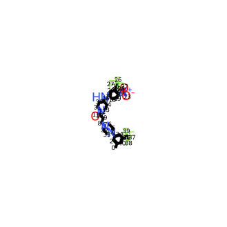 Cc1cc(N2CCN(CCC(=O)N3CCC(Nc4ccc([N+](=O)[O-])c(C(F)(F)F)c4)CC3)CC2)cc(C(F)(F)F)c1